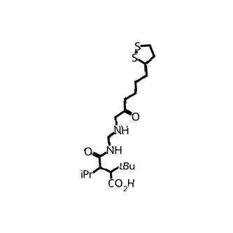 CC(C)C(C(=O)NCNCC(=O)CCCCC1CCSS1)C(C(=O)O)C(C)(C)C